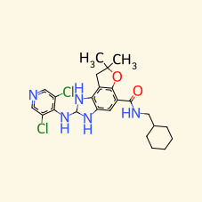 CC1(C)Cc2c3c(cc(C(=O)NCC4CCCCC4)c2O1)NC(Nc1c(Cl)cncc1Cl)N3